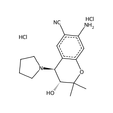 CC1(C)Oc2cc(N)c(C#N)cc2[C@H](N2CCCC2)[C@H]1O.Cl.Cl